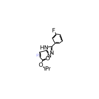 CC(C)OC(=O)/C=C\c1nnc(-c2cccc(F)c2)[nH]1